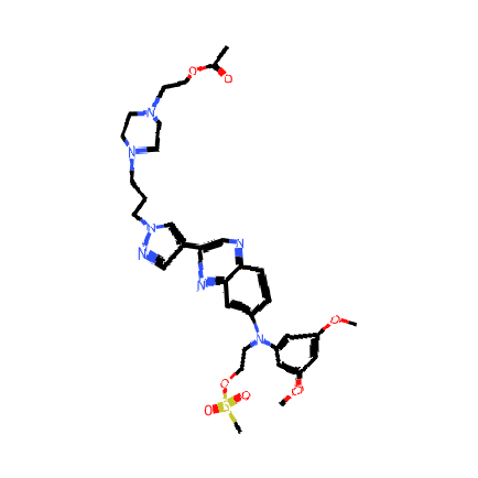 COc1cc(OC)cc(N(CCOS(C)(=O)=O)c2ccc3ncc(-c4cnn(CCCN5CCN(CCOC(C)=O)CC5)c4)nc3c2)c1